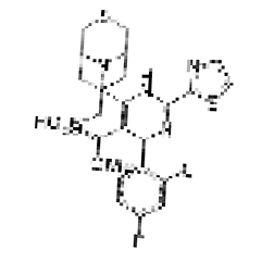 COC(=O)C1=C(CN2C3CSCC2CC(CC(=O)O)C3)NC(c2nccs2)=NC1c1ccc(F)cc1Cl